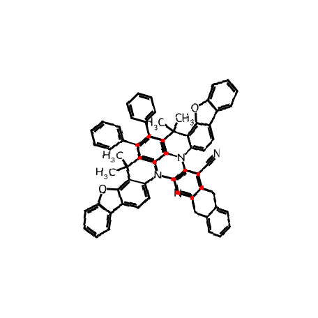 CC1(C)c2cc(-c3ccccc3)ccc2N(c2nc3c(c(C#N)c2N2c4ccc(-c5ccccc5)cc4C(C)(C)c4c2ccc2c4oc4ccccc42)C2c4ccccc4C3c3ccccc32)c2ccc3c(oc4ccccc43)c21